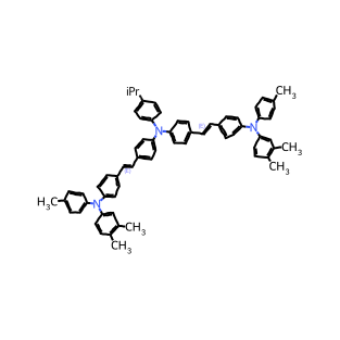 Cc1ccc(N(c2ccc(/C=C/c3ccc(N(c4ccc(/C=C/c5ccc(N(c6ccc(C)cc6)c6ccc(C)c(C)c6)cc5)cc4)c4ccc(C(C)C)cc4)cc3)cc2)c2ccc(C)c(C)c2)cc1